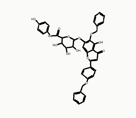 O=C(Nc1ccc(O)cc1)C1OC(Oc2cc3oc(-c4ccc(OCc5ccccc5)cc4)cc(=O)c3c(O)c2OCc2ccccc2)C(O)C(O)C1O